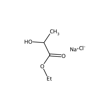 CCOC(=O)C(C)O.[Cl-].[Na+]